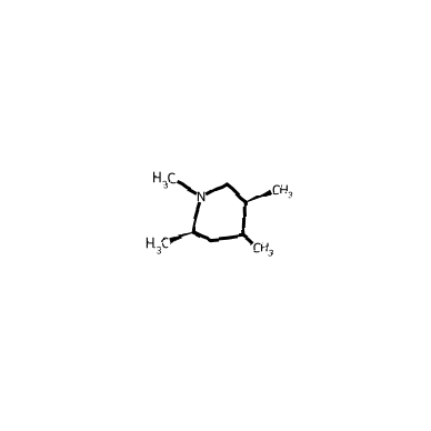 CC1C[C@@H](C)N(C)C[C@H]1C